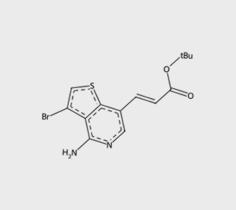 CC(C)(C)OC(=O)C=Cc1cnc(N)c2c(Br)csc12